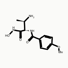 C[C@@H](N)[C@H](NC(=O)c1ccc(OC(C)(C)C)cc1)C(=O)NO